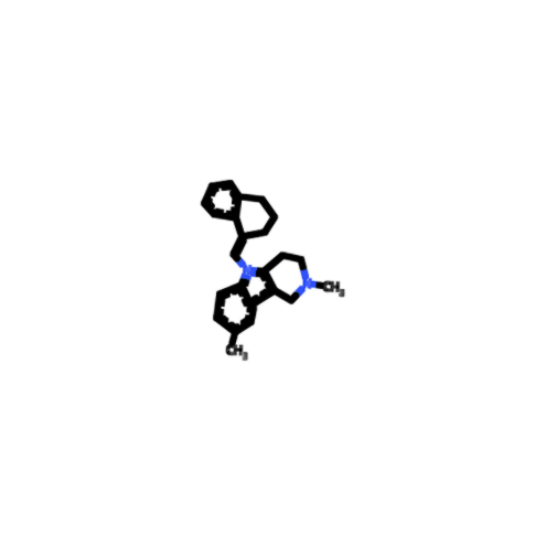 Cc1ccc2c(c1)c1c(n2/C=C2\CCCc3ccccc32)CCN(C)C1